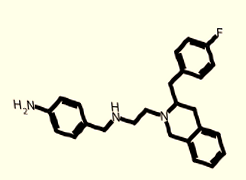 Nc1ccc(CNCCN2Cc3ccccc3CC2Cc2ccc(F)cc2)cc1